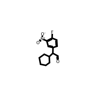 O=CC(c1ccc(F)c([N+](=O)[O-])c1)C1CCCCC1